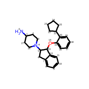 NC1CCN(C2Cc3ccccc3C2Oc2ccccc2C2CCCC2)CC1